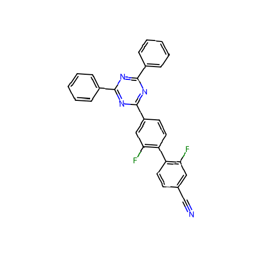 N#Cc1ccc(-c2ccc(-c3nc(-c4ccccc4)nc(-c4ccccc4)n3)cc2F)c(F)c1